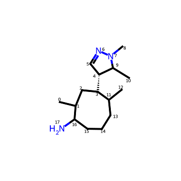 CC1CC([C@@H]2C=NN(C)C2C)C(C)CCCC1N